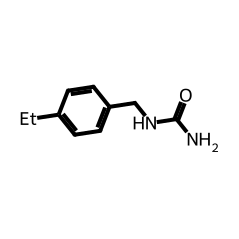 CCc1ccc(CNC(N)=O)cc1